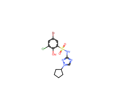 O=S(=O)(Nc1ncn(C2CCCC2)n1)c1cc(Br)cc(Cl)c1O